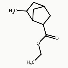 CCOC(=O)C1CC2CC(C)C1C2